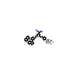 CCN(CC)c1ccc(/C=C/C2=CC(=C(C#N)C#N)C=C(/C=C/c3ccc(N(c4cccc5ccccc45)c4cccc5ccccc45)cc3)O2)cc1